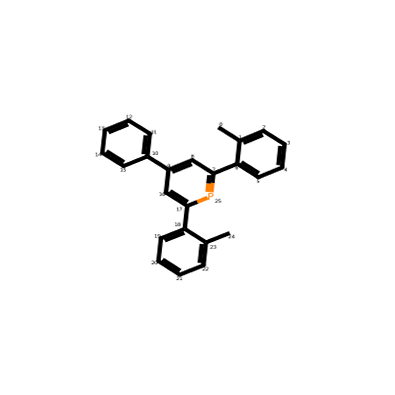 Cc1ccccc1-c1cc(-c2ccccc2)cc(-c2ccccc2C)p1